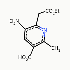 CCOC(=O)Cc1nc(C)c(C(=O)O)cc1[N+](=O)[O-]